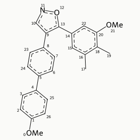 COc1ccc(-c2ccc(-c3cnoc3-c3cc(C)c(C)c(OC)c3)cc2)cc1